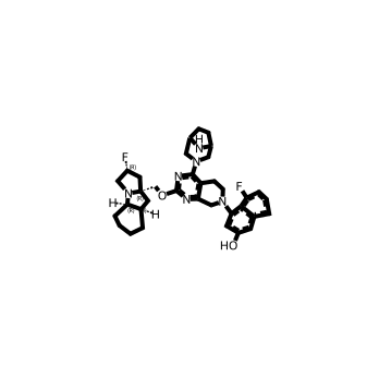 Oc1cc(N2CCc3c(nc(OC[C@@]45C[C@@H](F)CN4[C@@H]4CCCC[C@@H]4C5)nc3N3CC4CCC(C3)N4)C2)c2c(F)cccc2c1